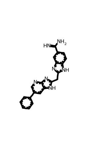 N=C(N)c1ccc2[nH]c(Cc3nc4ncc(-c5ccccc5)cc4[nH]3)nc2c1